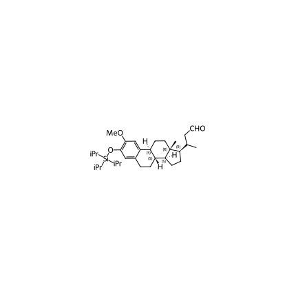 COc1cc2c(cc1O[Si](C(C)C)(C(C)C)C(C)C)CC[C@@H]1[C@@H]2CC[C@]2(C)[C@@H](C(C)CC=O)CC[C@@H]12